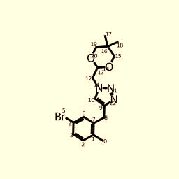 Cc1ccc(Br)cc1Cc1cn(CC2OCC(C)(C)CO2)nn1